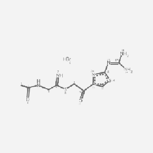 Br.CC(=O)NCC(=N)SCC(=O)c1csc(N=C(N)N)n1